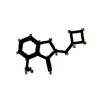 Nc1cccc2c1C(=O)N(CC1CCC1)C2